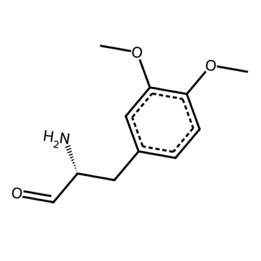 COc1ccc(C[C@@H](N)C=O)cc1OC